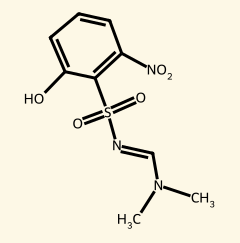 CN(C)/C=N/S(=O)(=O)c1c(O)cccc1[N+](=O)[O-]